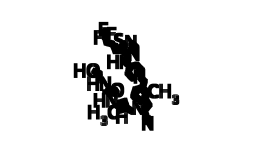 Cc1c(CN2CCC(Nc3ncnc4sc(CC(F)(F)F)cc34)CC2)ccc2c1cc(C#N)n2CC12CC(NC(=O)CNCCO)(C1)[C@H]2C